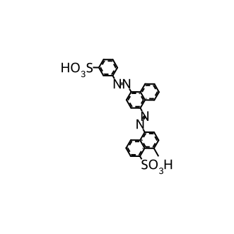 Cc1ccc(N=Nc2ccc(N=Nc3cccc(S(=O)(=O)O)c3)c3ccccc23)c2cccc(S(=O)(=O)O)c12